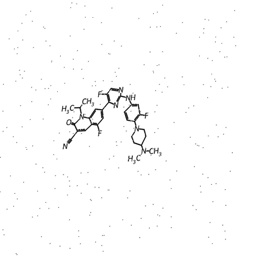 CC(C)n1c(=O)c(C#N)cc2c(F)cc(-c3nc(Nc4ccc(N5CCC(N(C)C)CC5)c(F)c4)ncc3F)cc21